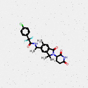 Bc1cc2c(cc1C(B)NC(=O)C(F)(F)c1ccc(Cl)cc1)C(B)(B)N(C1CCC(=O)NC1=O)C2=O